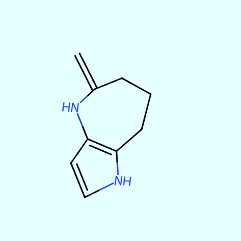 C=C1CCCc2[nH]ccc2N1